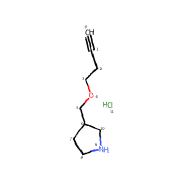 C#CCCOCC1CCNC1.Cl